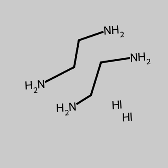 I.I.NCCN.NCCN